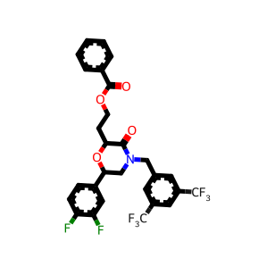 O=C(OCCC1OC(c2ccc(F)c(F)c2)CN(Cc2cc(C(F)(F)F)cc(C(F)(F)F)c2)C1=O)c1ccccc1